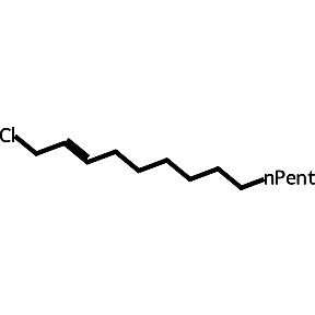 CCCCCCCCCCCC=CCCl